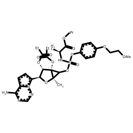 CCC(=O)O[C@H]1[C@H](c2ccc3c(N)ncnn23)O[C@]2(C)C(OP(=O)(N[C@@H](C)C(=O)OC(C)C)Oc3ccc(OCCOC)cc3)[C@]12OC(=O)CC